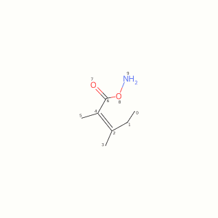 CCC(C)=C(C)C(=O)ON